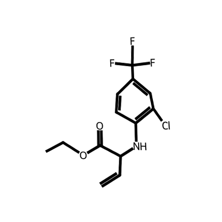 C=CC(Nc1ccc(C(F)(F)F)cc1Cl)C(=O)OCC